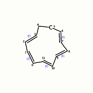 C1=C\C=C\CC/C=C/C=C/C=C/1